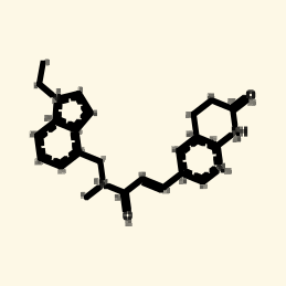 CCn1ccc2c(CN(C)C(=O)C=Cc3cnc4c(c3)CCC(=O)N4)cccc21